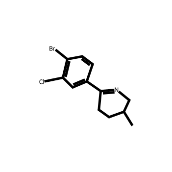 CC1CCC(c2ccc(Br)c(Cl)c2)=NC1